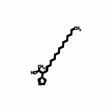 CCCCCCCCCCCCCC=CC(C(C)O)N1C=NCC1